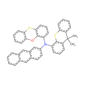 CC1(C)c2ccccc2Sc2c(N(c3ccc4cc5ccccc5cc4c3)c3cccc4c3Oc3ccccc3S4)cccc21